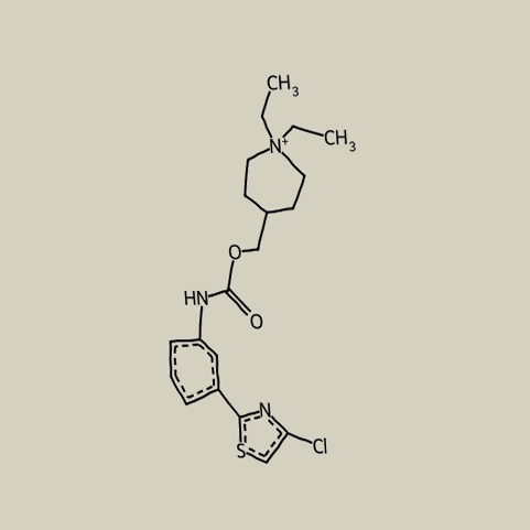 CC[N+]1(CC)CCC(COC(=O)Nc2cccc(-c3nc(Cl)cs3)c2)CC1